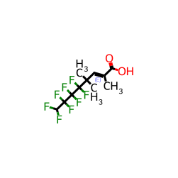 C/C(=C\C(C)(C)C(F)(F)C(F)(F)C(F)(F)C(F)F)C(=O)O